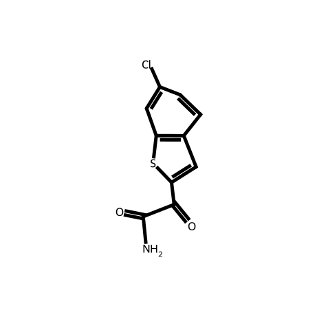 NC(=O)C(=O)c1cc2ccc(Cl)cc2s1